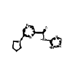 O=C(Nc1nnn[nH]1)c1cncc(N2CCCC2)n1